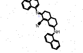 N#CC1=C2C=C(Nc3cccc4ccccc34)CCC2CC/C1=N\c1cccc2ccccc12